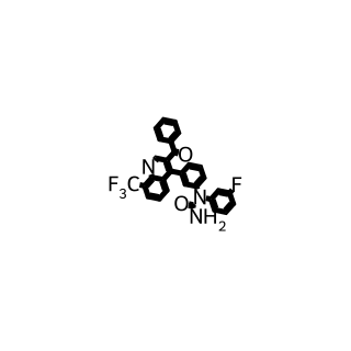 NC(=O)N(c1cccc(F)c1)c1cccc(-c2c(C(=O)c3ccccc3)cnc3c(C(F)(F)F)cccc23)c1